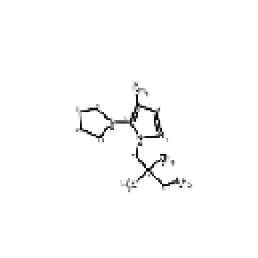 CC(C)(CN)Cn1ncc(N)c1N1CCCC1